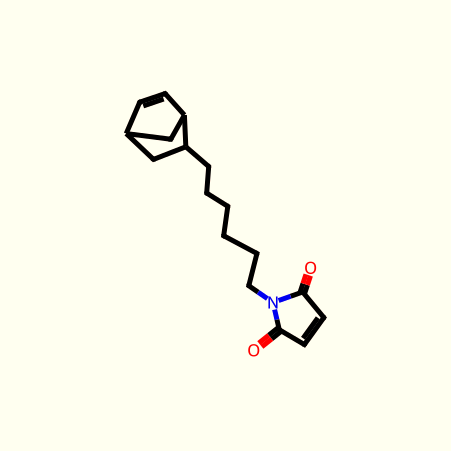 O=C1C=CC(=O)N1CCCCCCC1CC2C=CC1C2